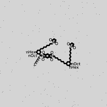 C=C=C=C=C=C=C(C1CC(CCCCCCCCN2C(=O)C=CC2=O)CC(CCCCCC)C1CCCCCCCC)n1c(=O)c2cc3c(=O)n(CCCCCCCCC4CC(CCCCCC)C(CCCCCCCC)C(CCCCCCCCN5C(=O)C=CC5=O)C4)c(=O)c3cc2c1=O